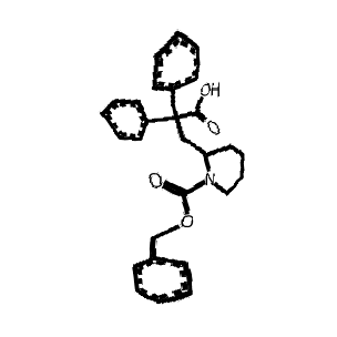 O=C(OCc1ccccc1)N1CCCCC1CC(C(=O)O)(c1ccccc1)c1ccccc1